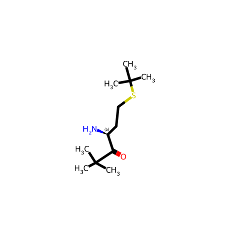 CC(C)(C)SCC[C@H](N)C(=O)C(C)(C)C